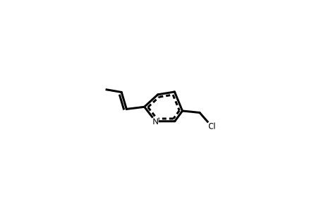 CC=Cc1ccc(CCl)cn1